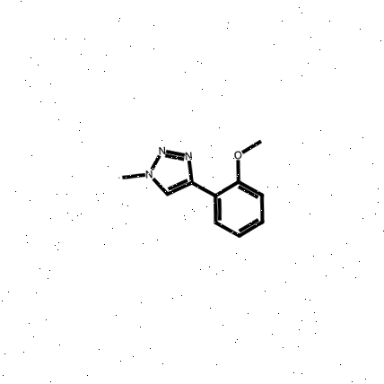 [CH2]n1cc(-c2ccccc2OC)nn1